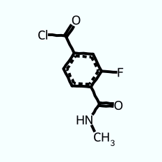 CNC(=O)c1ccc(C(=O)Cl)cc1F